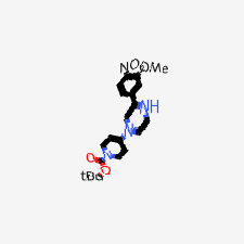 COc1cc(C2CN(C3CCN(C(=O)OC(C)(C)C)CC3)CCN2)ccc1[N+](=O)[O-]